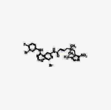 Cn1cnc([N+](=O)[O-])c1C[N+](C)(C)C/C=C/C(=O)Nc1cc2c(Nc3ccc(F)c(Br)c3)ncnc2cn1.[Br-]